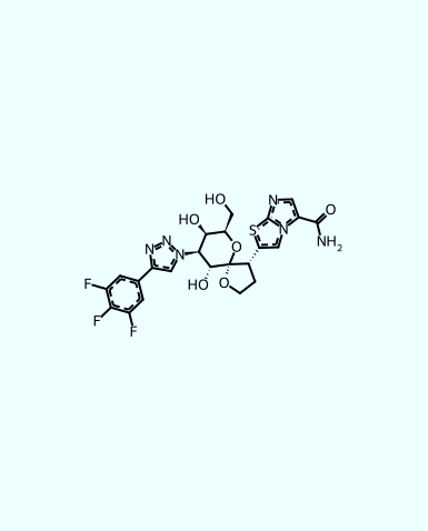 NC(=O)c1cnc2sc([C@@H]3CCO[C@]34O[C@H](CO)[C@H](O)[C@H](n3cc(-c5cc(F)c(F)c(F)c5)nn3)[C@H]4O)cn12